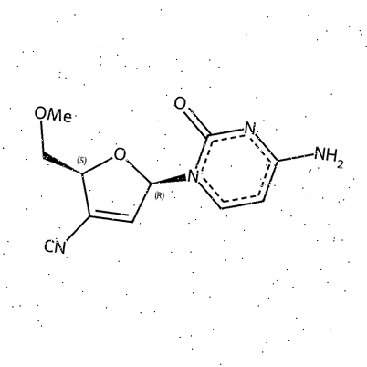 [C-]#[N+]C1=C[C@H](n2ccc(N)nc2=O)O[C@@H]1COC